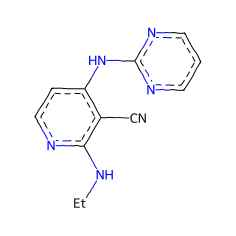 CCNc1nccc(Nc2ncccn2)c1C#N